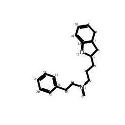 CN(CCCC1CC2CC=CC=C2O1)CCc1ccccc1